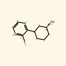 O[C@H]1CCCC(c2nccnc2F)C1